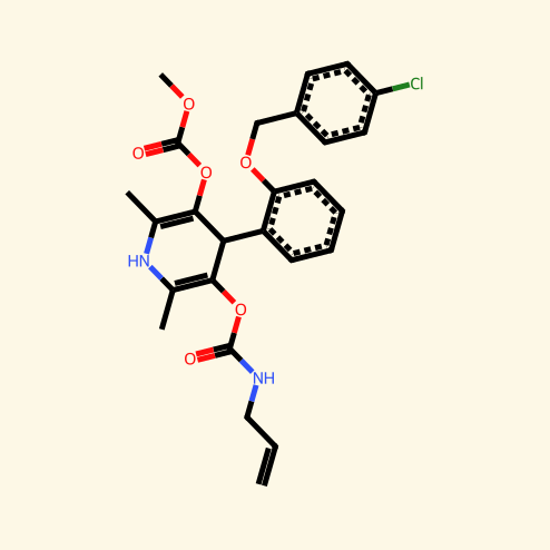 C=CCNC(=O)OC1=C(C)NC(C)=C(OC(=O)OC)C1c1ccccc1OCc1ccc(Cl)cc1